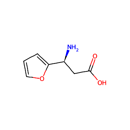 N[C@@H](CC(=O)O)c1ccco1